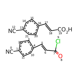 N#Cc1ccc(C=CC(=O)Cl)cc1.N#Cc1ccc(C=CC(=O)O)cc1